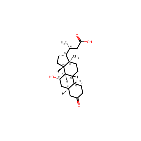 C[C@H](CC(=O)O)[C@H]1CC[C@H]2[C@@H]3[C@@H](O)C[C@@H]4CC(=O)CC[C@]4(C)[C@H]3CC[C@]12C